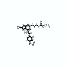 COC(=O)CCCCc1nc(NCc2ccc3c(c2)OCO3)c2cc(Cl)sc2n1